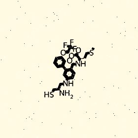 CSCC[C@H](NC(=O)c1ccc(NC[C@@H](N)CS)cc1-c1ccccc1)C(=O)OC(=O)C(F)(F)F